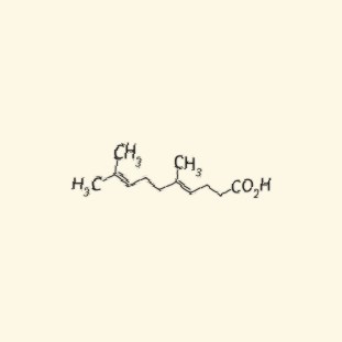 CC(C)=CCC/C(C)=C/CCC(=O)O